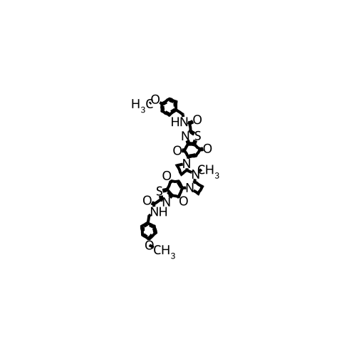 COc1ccc(CNC(=O)c2nc3c(s2)C(=O)C=C(N2CCC2N(C)C2CCN2C2=CC(=O)c4sc(C(=O)NCc5ccc(OC)cc5)nc4C2=O)C3=O)cc1